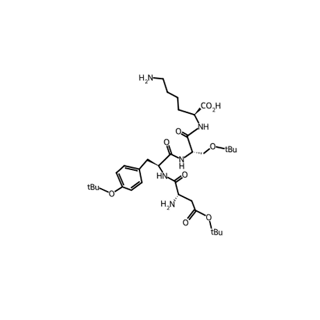 CC(C)(C)OC[C@H](NC(=O)[C@H](Cc1ccc(OC(C)(C)C)cc1)NC(=O)[C@@H](N)CC(=O)OC(C)(C)C)C(=O)N[C@@H](CCCCN)C(=O)O